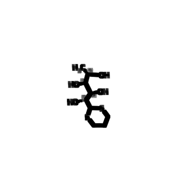 C[C@H](O)[C@H](O)[C@@H](O)[C@@H](O)C1SCCCS1